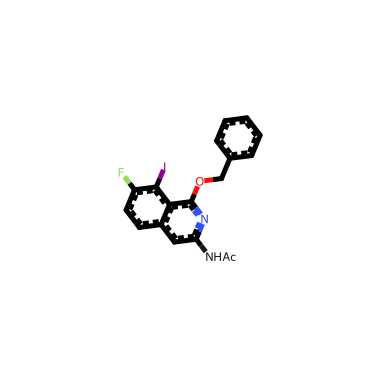 CC(=O)Nc1cc2ccc(F)c(I)c2c(OCc2ccccc2)n1